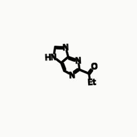 CCC(=O)c1ncc2[nH]cnc2n1